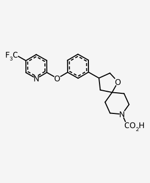 O=C(O)N1CCC2(CC1)CC(c1cccc(Oc3ccc(C(F)(F)F)cn3)c1)CO2